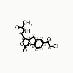 CC(=O)NCC1OC(=O)N2c3ccc(C(=O)CCl)cc3CC12